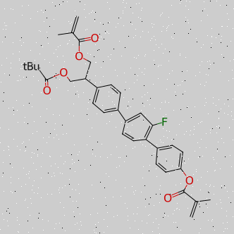 C=C(C)C(=O)OCC(COC(=O)C(C)(C)C)c1ccc(-c2ccc(-c3ccc(OC(=O)C(=C)C)cc3)c(F)c2)cc1